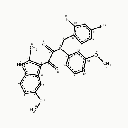 COc1ccc2[nH]c(C)c(C(=O)C(=O)N(Cc3ccc(F)cc3F)c3ccnc(OC)c3)c2c1